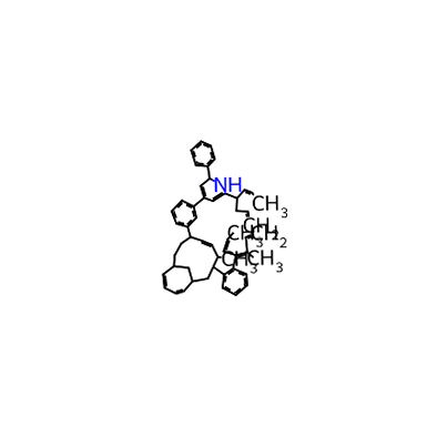 C=CCC(/C=C\C)C1=CC(c2cccc(C3/C=C\C(C)C(c4ccccc4C(/C=C\C)=C(\C)C=C)CC4C=CC=CC(CC3)C4)c2)=CC(c2ccccc2)N1